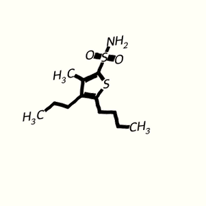 CCCCc1sc(S(N)(=O)=O)c(C)c1CCC